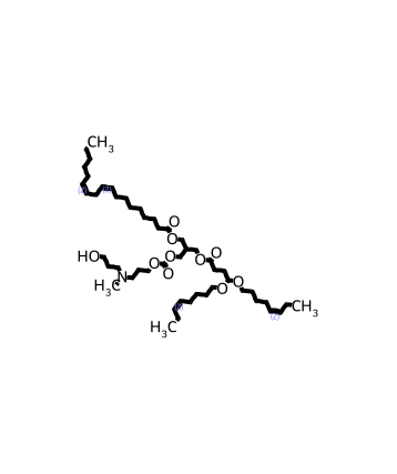 CC/C=C\CCCCOC(CCC(=O)OCC(COC(=O)CCCCCCC/C=C\C/C=C\CCCCC)COC(=O)OCCCN(C)CCCO)OCCCC/C=C\CC